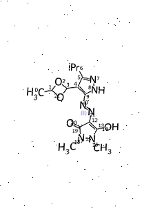 CC1OC(c2c(C(C)C)n[nH]c2/N=N/c2c(O)n(C)n(C)c2=O)O1